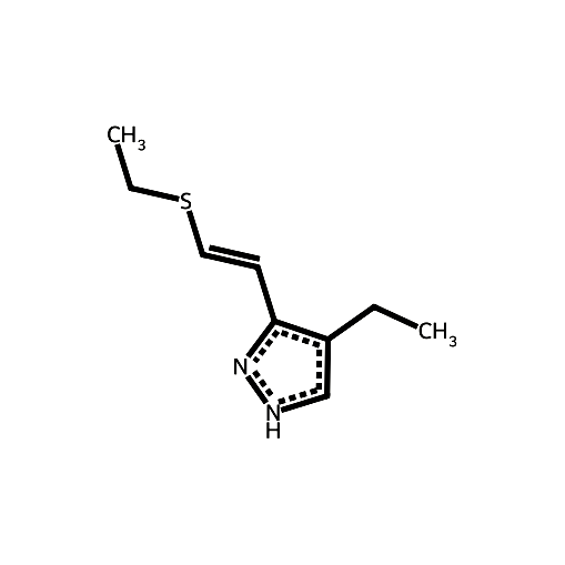 CCSC=Cc1n[nH]cc1CC